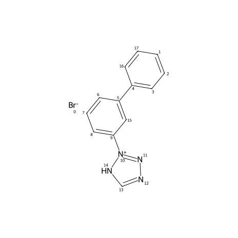 [Br-].c1ccc(-c2cccc(-[n+]3nnc[nH]3)c2)cc1